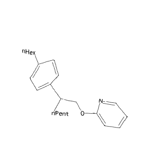 CCCCCCc1ccc(C(CCCCC)COc2ccccn2)cc1